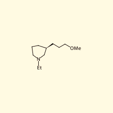 [CH2]CN1CCC[C@@H](CCCOC)C1